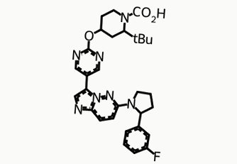 CC(C)(C)C1CC(Oc2ncc(-c3cnc4ccc(N5CCCC5c5cccc(F)c5)nn34)cn2)CCN1C(=O)O